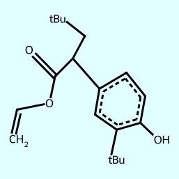 C=COC(=O)C(CC(C)(C)C)c1ccc(O)c(C(C)(C)C)c1